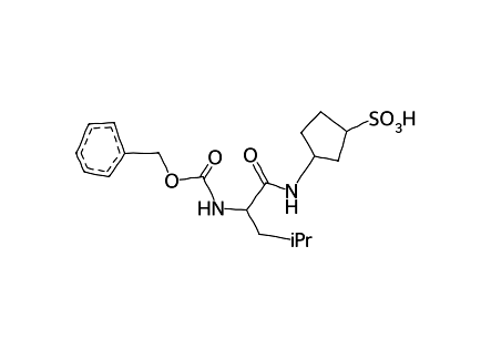 CC(C)CC(NC(=O)OCc1ccccc1)C(=O)NC1CCC(S(=O)(=O)O)C1